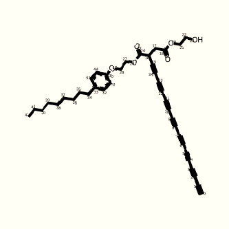 C#CC#CC#CC#CC#CC#CC#CC#CC(CC(=O)OCCO)C(=O)OCCOc1ccc(CCCCCCCCC)cc1